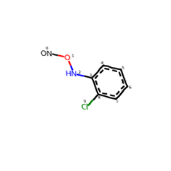 O=NONc1ccccc1Cl